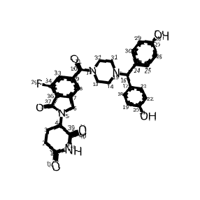 O=C1CCC(N2Cc3cc(C(=O)N4CCN(C(c5ccc(O)cc5)c5ccc(O)cc5)CC4)cc(F)c3C2=O)C(=O)N1